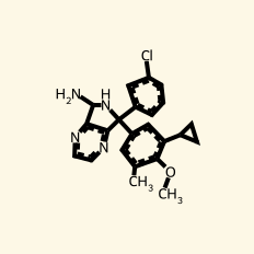 COc1c(C)cc(C2(c3cccc(Cl)c3)NC(N)c3nccnc32)cc1C1CC1